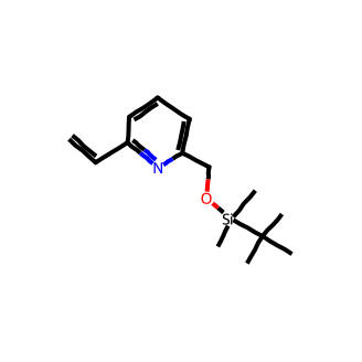 C=Cc1cccc(CO[Si](C)(C)C(C)(C)C)n1